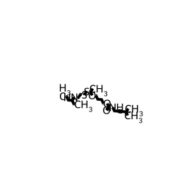 CCCC(CC)NCCSSC(C)OCCCCOC(=O)NCC#CC(C)C